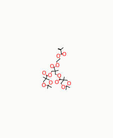 C=C(C)C(=O)OCCOC(=O)C(C)(COC(=O)C1(C)COC(C)(C)OC1)COC(=O)C1(C)COC(C)(C)OC1